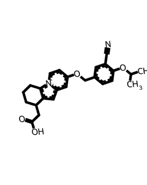 CC(C)Oc1ccc(COc2ccn3c4c(cc3c2)C(CC(=O)O)CCC4)cc1C#N